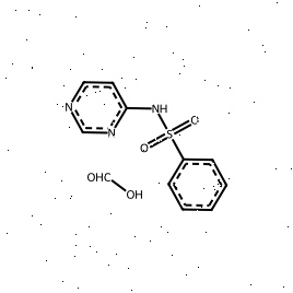 O=CO.O=S(=O)(Nc1ccncn1)c1ccccc1